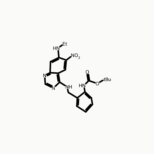 CCNc1cc2ncnc(NCc3ccccc3NC(=O)OC(C)(C)C)c2cc1[N+](=O)[O-]